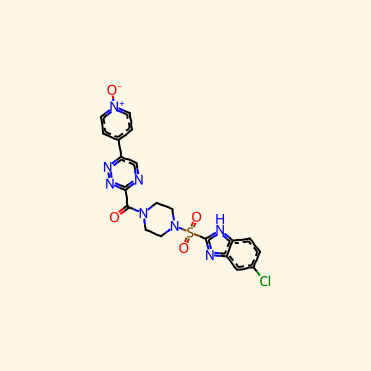 O=C(c1ncc(-c2cc[n+]([O-])cc2)nn1)N1CCN(S(=O)(=O)c2nc3cc(Cl)ccc3[nH]2)CC1